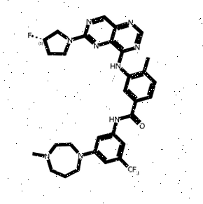 Cc1ccc(C(=O)Nc2cc(N3CCCN(C)CC3)cc(C(F)(F)F)c2)cc1Nc1ncnc2cnc(N3CC[C@H](F)C3)nc12